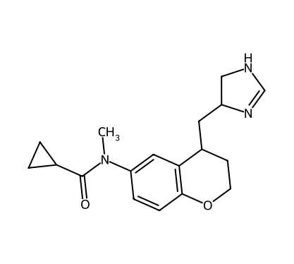 CN(C(=O)C1CC1)c1ccc2c(c1)C(CC1CNC=N1)CCO2